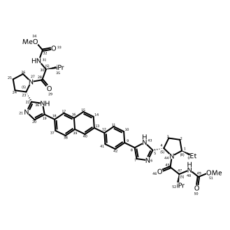 CC[C@@H]1CC[C@@H](c2ncc(-c3ccc(-c4ccc5cc(-c6cnc([C@@H]7CCCN7C(=O)[C@@H](NC(=O)OC)C(C)C)[nH]6)ccc5c4)cc3)[nH]2)N1C(=O)[C@@H](NC(=O)OC)C(C)C